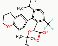 CC(C)c1ccc(C(F)(F)F)c(C(OC(C)(C)C)C(=O)O)c1-c1ccc2c(c1)CCCO2